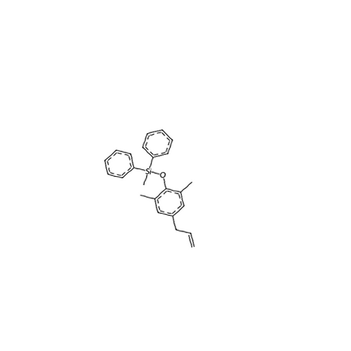 C=CCc1cc(C)c(O[Si](C)(c2ccccc2)c2ccccc2)c(C)c1